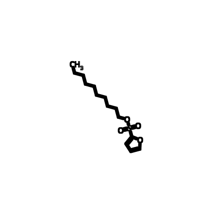 CCCCCCCCCCOS(=O)(=O)c1ccco1